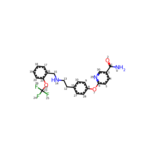 NC(=O)c1ccc(Oc2ccc(CCNCc3ccccc3OC(F)(F)F)cc2)nc1